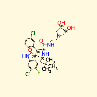 CC(C)(C)C[C@H]1N[C@@H](C(=O)NCCN2C[C@@H](O)[C@H](O)C2)[C@H](c2cccc(Cl)c2)[C@@]12C(=O)Nc1cc(Cl)c(F)cc12